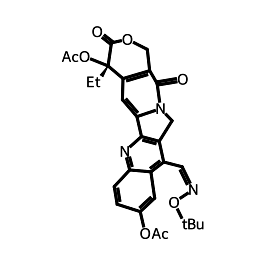 CC[C@@]1(OC(C)=O)C(=O)OCc2c1cc1n(c2=O)Cc2c-1nc1ccc(OC(C)=O)cc1c2/C=N\OC(C)(C)C